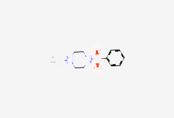 CC(=O)N1CCN(S(=O)(=O)c2ccccc2)CC1